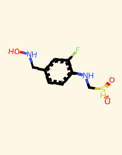 O=[SH](=O)CNc1ccc(CNO)cc1F